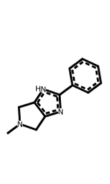 CN1Cc2nc(-c3ccccc3)[nH]c2C1